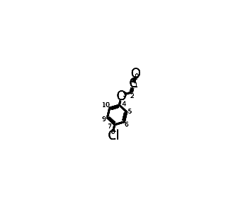 O=C=COc1ccc(Cl)cc1